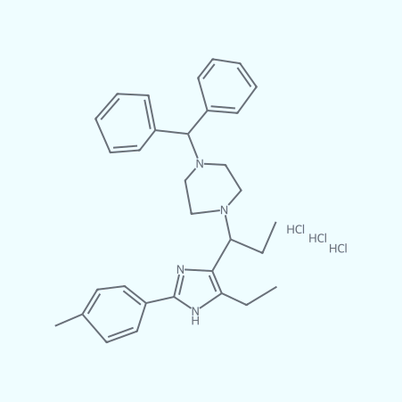 CCc1[nH]c(-c2ccc(C)cc2)nc1C(CC)N1CCN(C(c2ccccc2)c2ccccc2)CC1.Cl.Cl.Cl